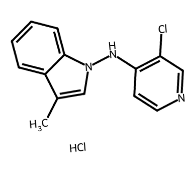 Cc1cn(Nc2ccncc2Cl)c2ccccc12.Cl